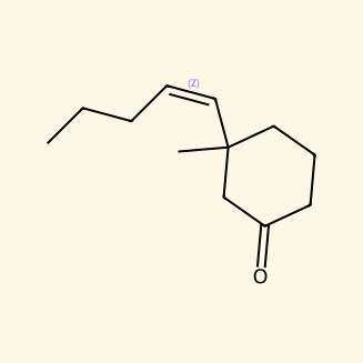 CCC/C=C\C1(C)CCCC(=O)C1